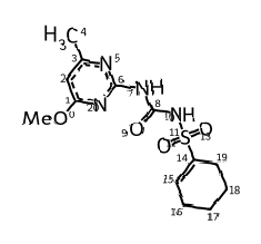 COc1cc(C)nc(NC(=O)NS(=O)(=O)C2=CCCCC2)n1